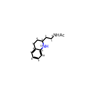 CC(=O)NCCC1CCc2c[c]ccc2N1